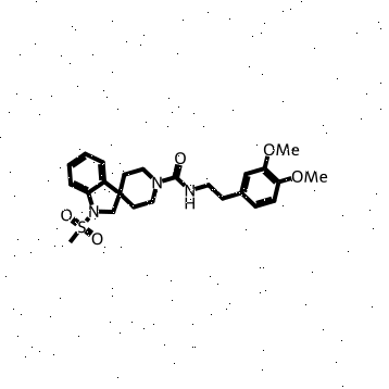 COc1ccc(CCNC(=O)N2CCC3(CC2)CN(S(C)(=O)=O)c2ccccc23)cc1OC